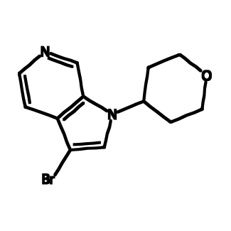 Brc1cn(C2CCOCC2)c2cnccc12